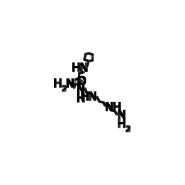 CC(N)(CCCCNCC1CCCCC1)C(=O)NCCCNCCCCNCCCN